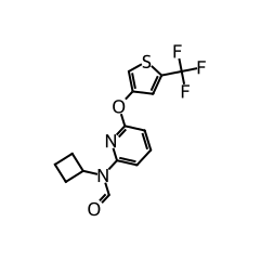 O=CN(c1cccc(Oc2csc(C(F)(F)F)c2)n1)C1CCC1